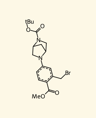 COC(=O)c1ccc(N2CC3CC2CN3C(=O)OC(C)(C)C)cc1CBr